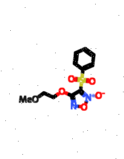 COCCOc1no[n+]([O-])c1S(=O)(=O)c1ccccc1